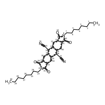 CCCCCCCCn1c(=O)c2cc3c(C#N)c4cc5c(=O)n(CCCCCCCC)c(=O)c5cc4c(C#N)c3cc2c1=O